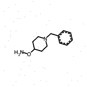 NOC1CCN(Cc2ccccc2)CC1